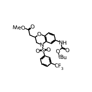 COC(=O)CC1CN(S(=O)(=O)c2cccc(C(F)(F)F)c2)c2cc(NC(=O)OC(C)(C)C)ccc2O1